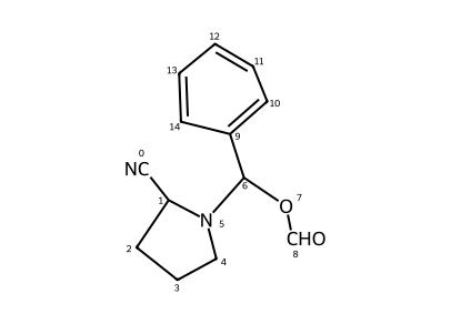 N#CC1CCCN1C(OC=O)c1ccccc1